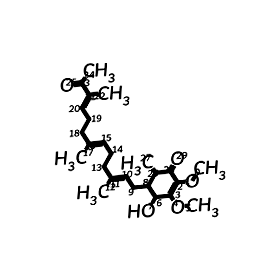 COC1=C(OC)C(O)C(C/C=C(\C)CC/C=C(\C)CC/C=C(\C)C(C)=O)C(C)C1=O